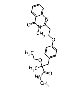 CCOC(C)(Cc1ccc(OCCc2nc3ccccc3c(=O)n2C)cc1)C(=O)NC